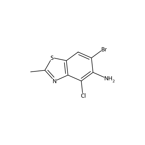 Cc1nc2c(Cl)c(N)c(Br)cc2s1